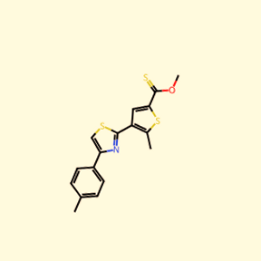 COC(=S)c1cc(-c2nc(-c3ccc(C)cc3)cs2)c(C)s1